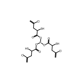 C=C(Cl)CC(S)C(=O)OP(OC(=O)C(S)CC(=C)Cl)OC(=O)C(S)CC(=C)Cl